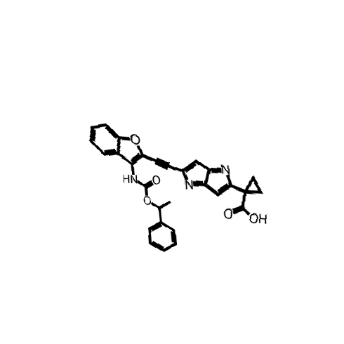 CC(OC(=O)Nc1c(C#CC2=CC3=NC(C4(C(=O)O)CC4)=CC3=N2)oc2ccccc12)c1ccccc1